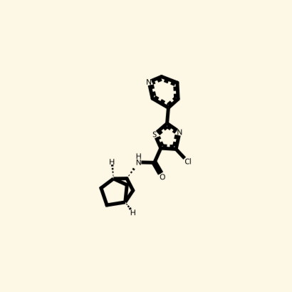 O=C(N[C@@H]1C[C@H]2CC[C@@H]1C2)c1sc(-c2cccnc2)nc1Cl